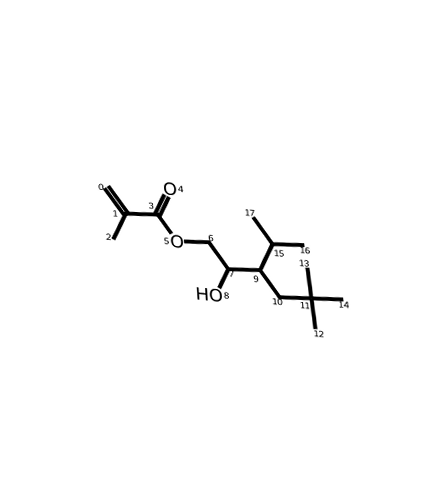 C=C(C)C(=O)OCC(O)C(CC(C)(C)C)C(C)C